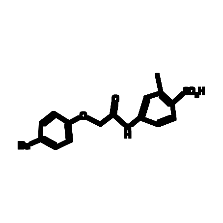 CCC(C)c1ccc(OCC(=O)Nc2ccc(S(=O)(=O)O)c(C)c2)cc1